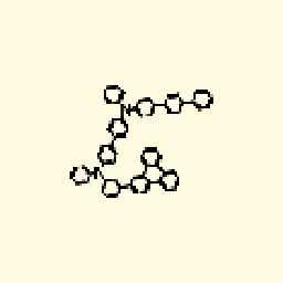 c1ccc(-c2ccc(-c3ccc(N(c4ccccc4)c4ccc(-c5ccc(N(c6ccccc6)c6cccc(-c7ccc8c9ccccc9c9ccccc9c8c7)c6)cc5)cc4)cc3)cc2)cc1